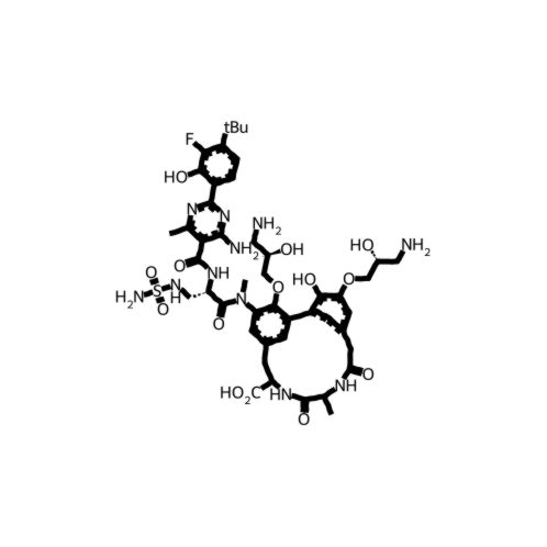 Cc1nc(-c2ccc(C(C)(C)C)c(F)c2O)nc(N)c1C(=O)N[C@@H](CNS(N)(=O)=O)C(=O)N(C)c1cc2cc(c1OC[C@H](O)CN)-c1cc(cc(OC[C@H](O)CN)c1O)CC(=O)NC(C)C(=O)NC(C(=O)O)C2